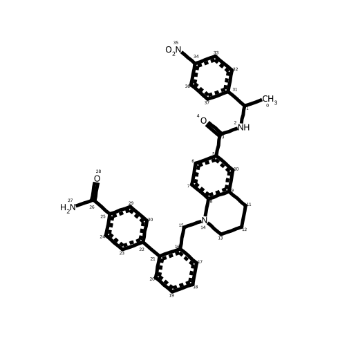 CC(NC(=O)c1ccc2c(c1)CCCN2Cc1ccccc1-c1ccc(C(N)=O)cc1)c1ccc([N+](=O)[O-])cc1